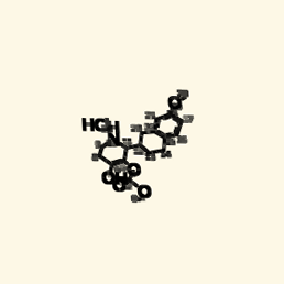 COC(=O)OC1=C(O)CCNC1C1CCc2ccc(OC)cc2C1.Cl